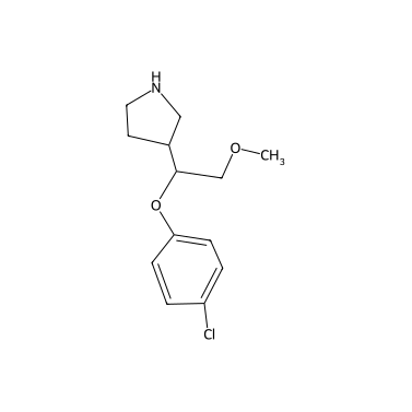 COCC(Oc1ccc(Cl)cc1)C1CCNC1